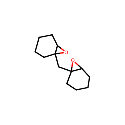 C1CCC2(CC34CCCCC3O4)OC2C1